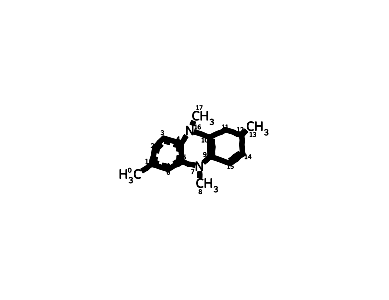 Cc1ccc2c(c1)N(C)C1=C(CC(C)C=C1)N2C